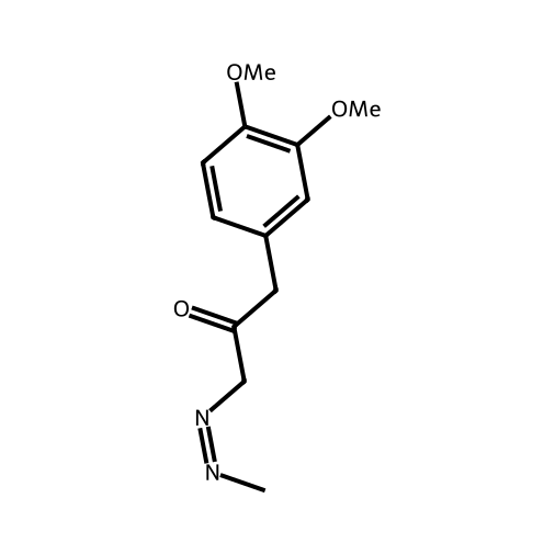 C/N=N\CC(=O)Cc1ccc(OC)c(OC)c1